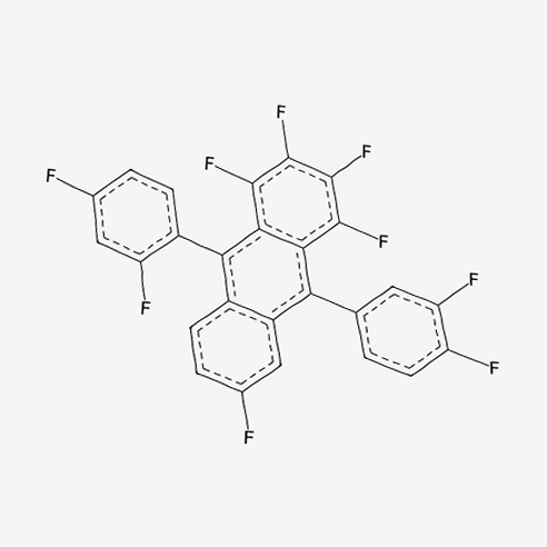 Fc1ccc(-c2c3ccc(F)cc3c(-c3ccc(F)c(F)c3)c3c(F)c(F)c(F)c(F)c23)c(F)c1